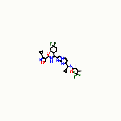 CC(CC(=O)N[C@H](c1ccn2cc([C@@H](NC(=O)c3conc3C3CC3)C3CCC(F)(F)CC3)nc2n1)C1CC1)C(F)(F)F